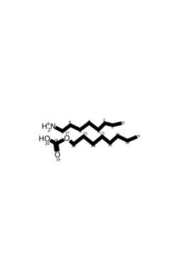 CCCCCCCCN.CCCCCCCCOC(=O)O